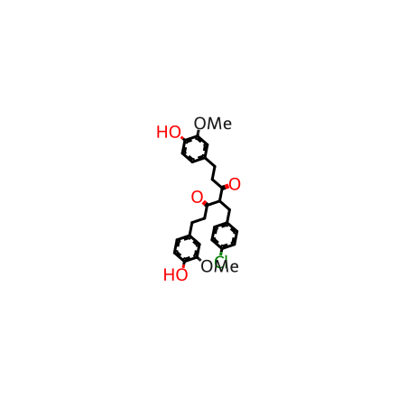 COc1cc(CCC(=O)C(Cc2ccc(Cl)cc2)C(=O)CCc2ccc(O)c(OC)c2)ccc1O